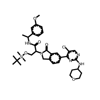 COc1cccc(C(C)NC(=O)C(CO[Si](C)(C)C(C)(C)C)N2Cc3ccc(-c4nc(NC5CCOCC5)ncc4Cl)cc3C2=O)c1